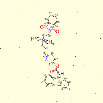 C[N+](C)(CCCN1CCC(OC(=O)NC(c2ccccc2)c2ccccc2)CC1)CCN1C(=O)c2ccccc2C1=O